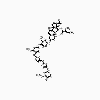 C/C=C(\C)C(=O)OC1CC2C(CC=C3CC(O[C@H]4CC(OC)C(O[C@H]5CC(OC)C(OC6CC(OC7CC(O[C@H]8CC(OC)C(O)=CO8)=CO7)=CO6)=CO5)=CO4)CCC32C)C2(O)CCC(C(C)=O)C12C